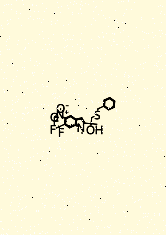 Cn1c(C(C)(O)CSCc2ccccc2)cc2cc([N+](=O)[O-])c(C(F)(F)F)cc21